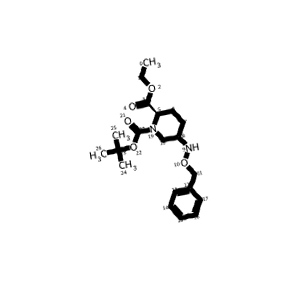 CCOC(=O)[C@H]1CCC(NOCc2ccccc2)CN1C(=O)OC(C)(C)C